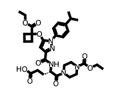 CCOC(=O)N1CCN(C(=O)[C@H](CCC(=O)O)NC(=O)c2cc(OC3(C(=O)OCC)CCC3)n(-c3ccc(C(C)C)cc3)n2)CC1